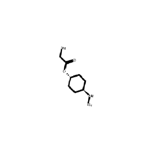 CC(C)(C)N[C@H]1CC[C@H](OC(=O)CO)CC1